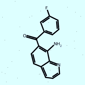 Nc1c(C(=O)c2cccc(F)c2)ccc2cccnc12